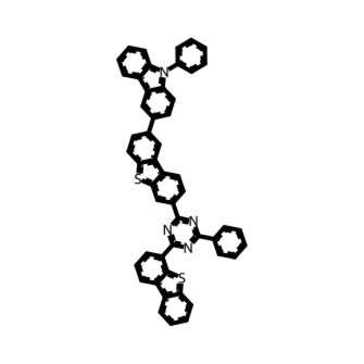 c1ccc(-c2nc(-c3ccc4c(c3)sc3ccc(-c5ccc6c(c5)c5ccccc5n6-c5ccccc5)cc34)nc(-c3cccc4c3sc3ccccc34)n2)cc1